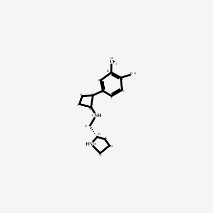 Fc1ccc(C2CCC2NC[C@@H]2CCCN2)cc1C(F)(F)F